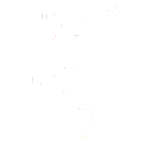 COCCC(C)(C)OCCC(C)(C)OCC/C=C\S